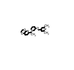 Cc1cc(CO[C@H]2CCCN([C@@H](C)c3ccc4c(n3)OCCO4)C2)cc(C)n1